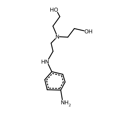 Nc1ccc(NCCN(CCO)CCO)cc1